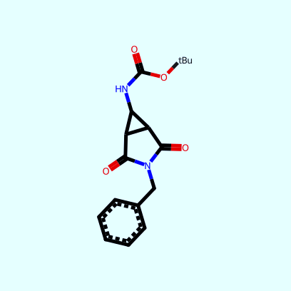 CC(C)(C)OC(=O)NC1C2C(=O)N(Cc3ccccc3)C(=O)C12